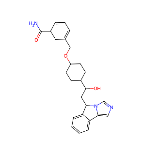 NC(=O)C1C=CC=C(COC2CCC(C(O)CC3c4ccccc4-c4cncn43)CC2)C1